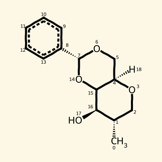 C[C@H]1CO[C@@H]2CO[C@@H](c3ccccc3)OC2[C@@H]1O